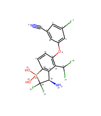 N#Cc1cc(F)cc(Oc2ccc3c(c2C(F)F)[C@@H](N)C(F)(F)S3(O)O)c1